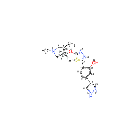 CN1C[C@]2(C)CCC1C[C@H]2Oc1nnc(-c2ccc(-c3cn[nH]c3)cc2O)s1